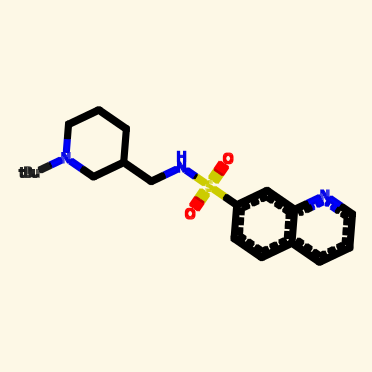 CC(C)(C)N1CCCC(CNS(=O)(=O)c2ccc3cccnc3c2)C1